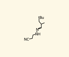 CC(/C=N/NCCC#N)CC(C)(C)C